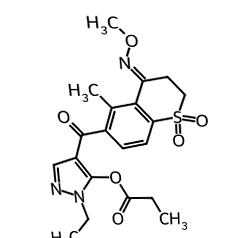 CCC(=O)Oc1c(C(=O)c2ccc3c(c2C)C(=NOC)CCS3(=O)=O)cnn1CC